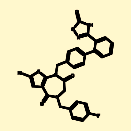 CCc1cc2c(s1)N(Cc1ccc(-c3ccccc3-c3noc(=O)[nH]3)cc1)C(=O)CN(Cc1ccc(F)cc1)C2=O